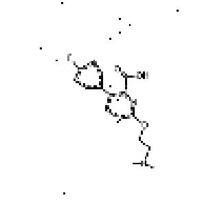 CN(C)CCOc1ncc(-c2ccc(F)cc2)c(C(=O)O)n1